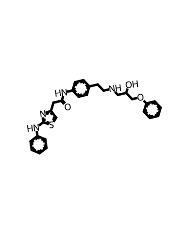 O=C(Cc1csc(Nc2ccccc2)n1)Nc1ccc(CCNCC(O)COc2ccccc2)cc1